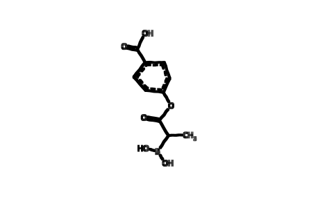 CC(B(O)O)C(=O)Oc1ccc(C(=O)O)cc1